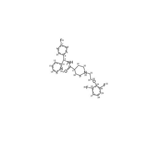 O=C(NC(c1ccc(F)cc1)c1ccccn1)C1CCN(CCOc2c(F)cccc2F)CC1